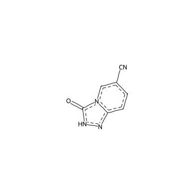 N#Cc1ccc2n[nH]c(=O)n2c1